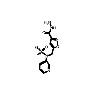 CCS(=O)(=O)N(Cc1cc(C(=O)NN)no1)c1cccnc1